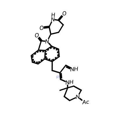 CC(=O)N1CCC(C)(N/C=C(\C=N)Cc2ccc3c4c(cccc24)C(=O)N3C2CCC(=O)NC2=O)CC1